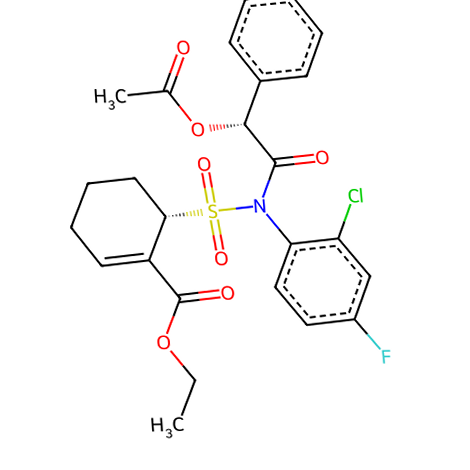 CCOC(=O)C1=CCCC[C@@H]1S(=O)(=O)N(C(=O)[C@H](OC(C)=O)c1ccccc1)c1ccc(F)cc1Cl